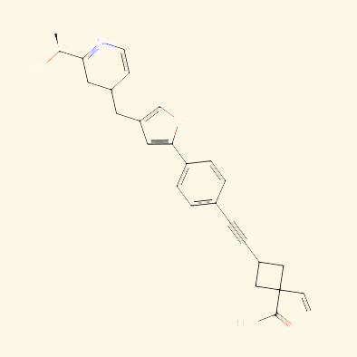 C=CC1(C(C)=O)CC(C#Cc2ccc(-c3cc(CC4C=CN=C([C@H](C)O)C4)co3)cc2)C1